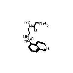 CCCN(CCNS(=O)(=O)c1cccc2cnccc12)C(=O)CN